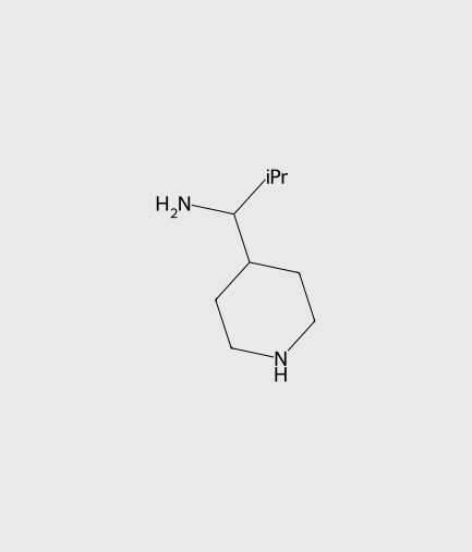 CC(C)C(N)C1CCNCC1